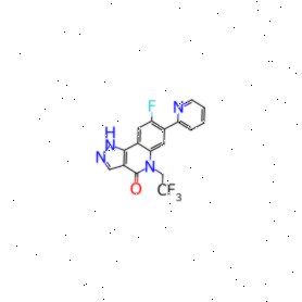 O=c1c2cn[nH]c2c2cc(F)c(-c3ccccn3)cc2n1CC(F)(F)F